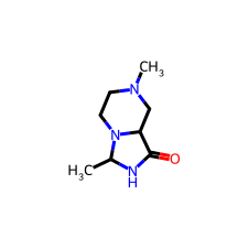 CC1NC(=O)C2CN(C)CCN12